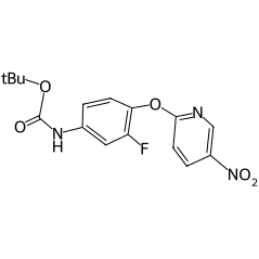 CC(C)(C)OC(=O)Nc1ccc(Oc2ccc([N+](=O)[O-])cn2)c(F)c1